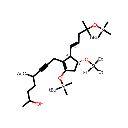 CCCCC(C)(C/C=C/[C@@H]1C(CC#CC(CCC(C)O)OC(C)=O)=C(O[Si](C)(C)C(C)(C)C)C[C@H]1O[Si](CC)(CC)CC)O[Si](C)(C)C